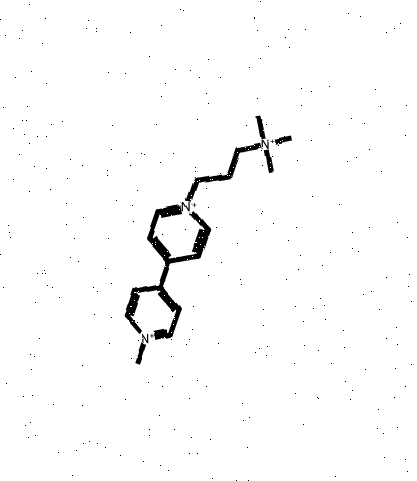 C[n+]1ccc(-c2cc[n+](CCC[N+](C)(C)C)cc2)cc1